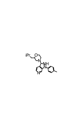 Cc1ccc(N2NC(N3CCOC(CC(C)C)C3)c3ccncc32)cc1